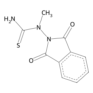 CN(C(N)=S)N1C(=O)c2ccccc2C1=O